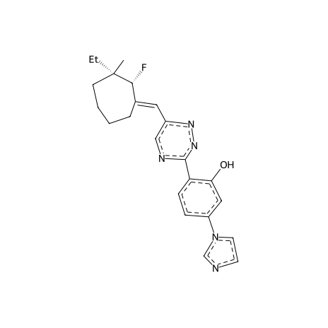 CC[C@@]1(C)CCCC/C(=C\c2cnc(-c3ccc(-n4ccnc4)cc3O)nn2)[C@H]1F